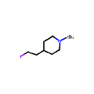 CC(C)(C)N1CCC(CCI)CC1